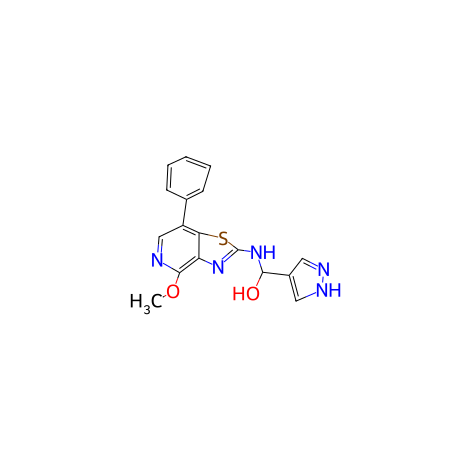 COc1ncc(-c2ccccc2)c2sc(NC(O)c3cn[nH]c3)nc12